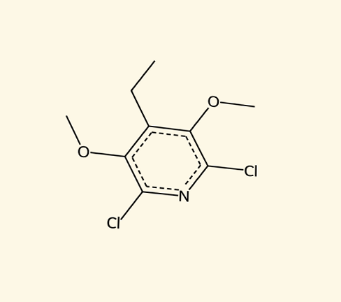 CCc1c(OC)c(Cl)nc(Cl)c1OC